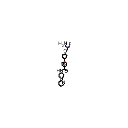 NC/C(=C\F)COc1ccc(C23CCC(C(=O)NC4CCN(c5ccccn5)CC4)(CC2)CC3)cc1